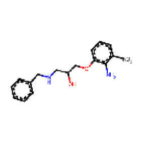 Nc1c(OCC(O)CNCc2ccccc2)cccc1[N+](=O)[O-]